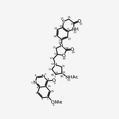 COc1ccc2ncnc(O[C@@H]3CN(CC4CN(c5ccc6c(c5)NC(=O)CS6)C(=O)O4)C[C@H]3NC(C)=O)c2c1